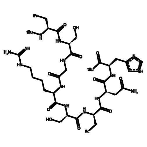 CC(=O)C[C@@H](NC(=O)[C@H](CO)NC(=O)[C@@H](CCCCNC(=N)N)NC(=O)CNC(=O)[C@@H](CO)NC(=O)[C@H](CC(C)C)NC(C)(C)C)C(=O)N[C@@H](CC(N)=O)C(=O)N[C@H](Cc1c[nH]cn1)C(=O)C(C)(C)C